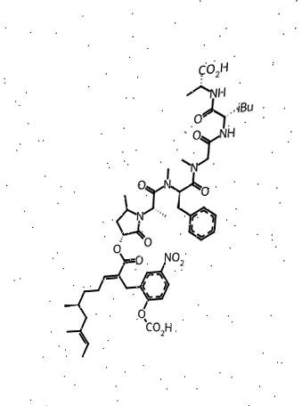 C/C=C(\C)C[C@@H](C)CC/C=C(\Cc1cc([N+](=O)[O-])ccc1OC(=O)O)C(=O)O[C@@H]1CC(C)N([C@@H](C)C(=O)N(C)[C@H](Cc2ccccc2)C(=O)N(C)CC(=O)N[C@H](C(=O)N[C@H](C)C(=O)O)C(C)CC)C1=O